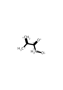 C=C(C)C(=O)[NH2+][O-]